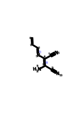 C=C/C=N/C(C#N)=C(\N)C#N